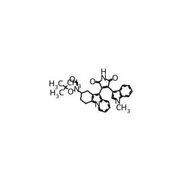 Cn1cc(C2=C(c3c4c(n5ccccc35)CCC(N(C=O)OC(C)(C)C)C4)C(=O)NC2=O)c2ccccc21